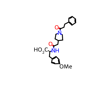 COc1ccc(C[C@H](NC(=O)CC2CCN(C(=O)CCc3ccccc3)CC2)C(=O)O)cc1